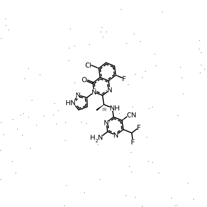 C[C@H](Nc1nc(N)nc(C(F)F)c1C#N)c1nc2c(F)ccc(Cl)c2c(=O)n1-c1cc[nH]n1